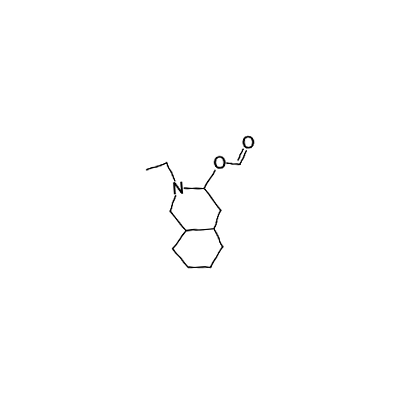 CCN1CC2CCCCC2CC1OC=O